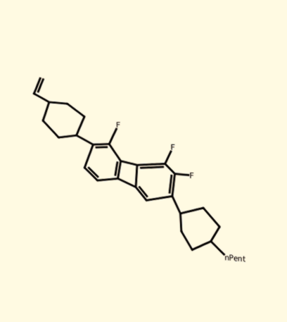 C=CC1CCC(c2ccc3c(c2F)-c2c-3cc(C3CCC(CCCCC)CC3)c(F)c2F)CC1